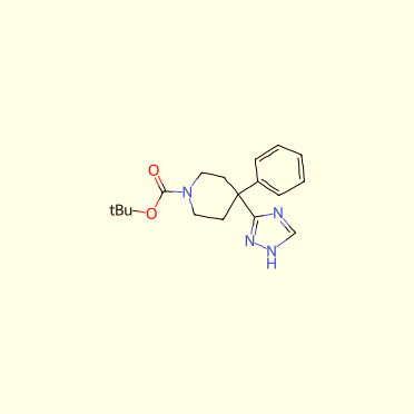 CC(C)(C)OC(=O)N1CCC(c2ccccc2)(c2nc[nH]n2)CC1